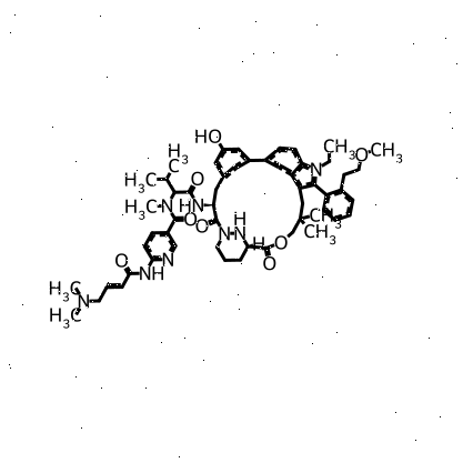 CCn1c(-c2ccccc2CCOC)c2c3cc(ccc31)-c1cc(O)cc(c1)C[C@H](NC(=O)C(C(C)C)N(C)C(=O)c1ccc(NC(=O)/C=C/CN(C)C)nc1)C(=O)N1CCC[C@H](N1)C(=O)OCC(C)(C)C2